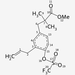 C=CCc1cc(CC(C)(C)C(=O)OC)ccc1OS(=O)(=O)C(F)(F)F